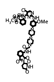 COc1cc(N2CCC(N3CCN(CC(=O)Nc4cccc5c4C(=O)N(C4CCC(=O)NC4=O)C5=O)CC3)CC2)ccc1Nc1ncc(Cl)c(Nc2ccccc2N(C)S(C)(=O)=O)n1